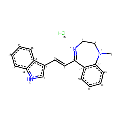 CN1CCN=C(C=Cc2c[nH]c3ccccc23)c2ccccc21.Cl